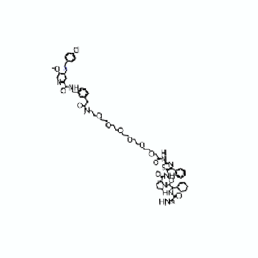 CN[C@@H](C)C(=O)N[C@H](C(=O)N1CCC[C@H]1C(=O)Nc1sc(NC(=O)COCCOCCOCCOCCOCCOCCN(C)C(=O)Cc2cccc(CNC(=O)c3cc(/C=C/c4ccc(Cl)cc4)c(OC)cn3)c2)nc1-c1ccccc1)C1CCCCC1